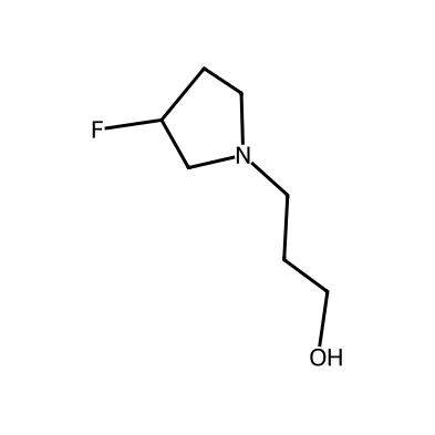 OCCCN1CCC(F)C1